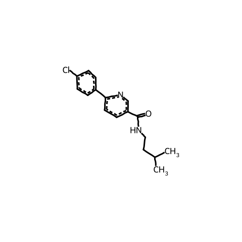 CC(C)CCNC(=O)c1ccc(-c2ccc(Cl)cc2)nc1